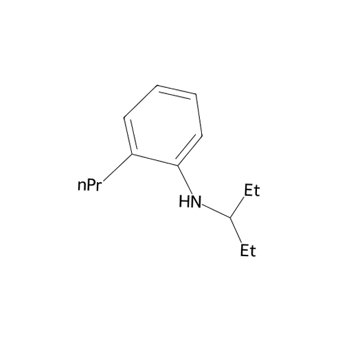 CCCc1ccccc1NC(CC)CC